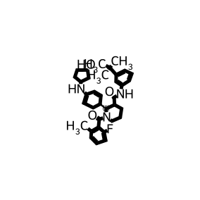 Cc1cccc(F)c1C(=O)N1CCCC(C(=O)Nc2cccc(C(C)(C)C)c2)[C@@H]1C1C=CC(NC2CCC(O)C2)=CC1